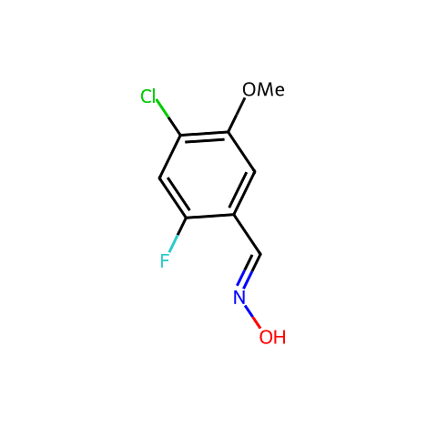 COc1cc(C=NO)c(F)cc1Cl